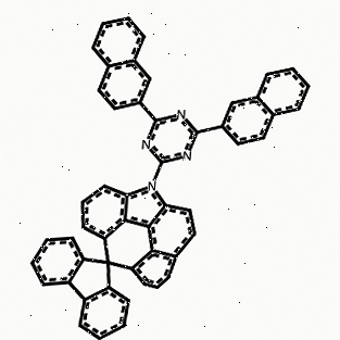 c1ccc2c(c1)-c1ccccc1C21c2cccc3ccc4c(c23)c2c1cccc2n4-c1nc(-c2ccc3ccccc3c2)nc(-c2ccc3ccccc3c2)n1